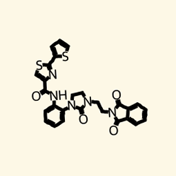 O=C(Nc1ccccc1N1CCN(CCN2C(=O)c3ccccc3C2=O)C1=O)c1csc(-c2cccs2)n1